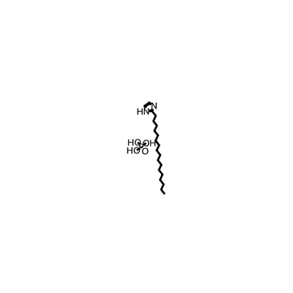 CCCCCCCCCCCCCCCCCc1ncc[nH]1.O=P(O)(O)O